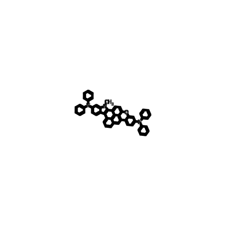 Cn1c2cc(N(c3ccccc3)c3ccccc3)ccc2c2c3cccc4cc5c6c(ccc(c6c43)c21)Oc1cc(N(c2ccccc2)c2ccccc2)ccc1-5